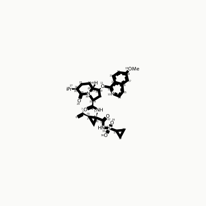 C=C[C@@H]1C[C@]1(NC(=O)[C@@H]1C[C@@H](Oc2nccc3cc(OC)ccc23)[C@H]2CC[C@H](C(C)C)C(=O)N21)C(=O)NS(=O)(=O)C1CC1